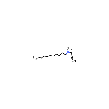 C#CCN(C)CCCCCCCCCC